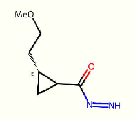 COCC[C@H]1CC1C(=O)N=N